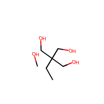 CCC(CO)(CO)CO.CO